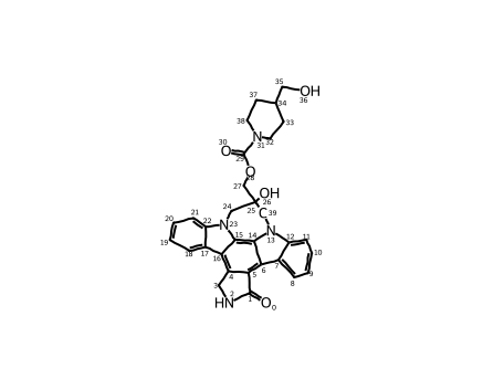 O=C1NCc2c1c1c3ccccc3n3c1c1c2c2ccccc2n1CC(O)(COC(=O)N1CCC(CO)CC1)C3